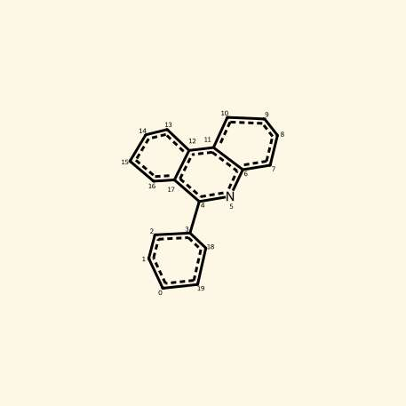 c1ccc(-c2nc3ccccc3c3ccccc23)cc1